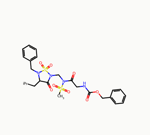 CC(C)CC1C(=O)N(CN(C(=O)CNC(=O)OCc2ccccc2)S(C)(=O)=O)S(=O)(=O)N1Cc1ccccc1